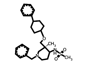 C[C@@]1(COC2CCC(c3ccccc3)CC2)CN(Cc2ccccc2)CCC1NS(C)(=O)=O